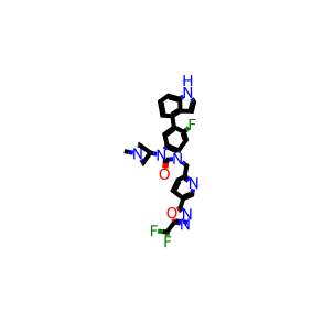 CN1CC(n2c(=O)n(Cc3ccc(-c4nnc(C(F)F)o4)cn3)c3cc(F)c(-c4cccc5[nH]ccc45)cc32)C1